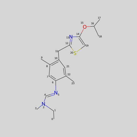 CCN(C)C=Nc1cc(C)c(Cc2nc(OC(C)C)cs2)cc1C